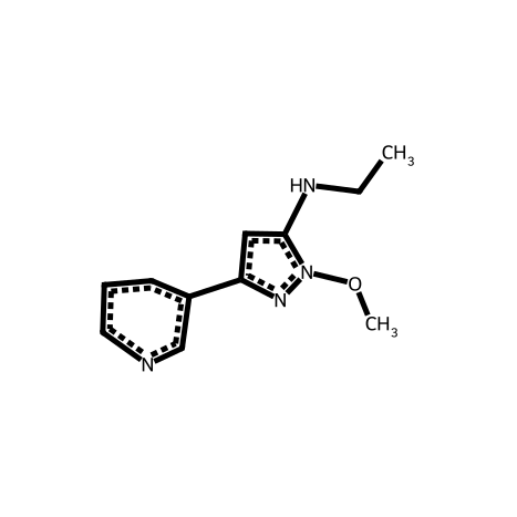 CCNc1cc(-c2cccnc2)nn1OC